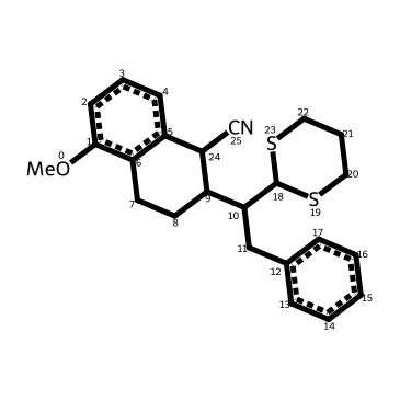 COc1cccc2c1CCC(C(Cc1ccccc1)C1SCCCS1)C2C#N